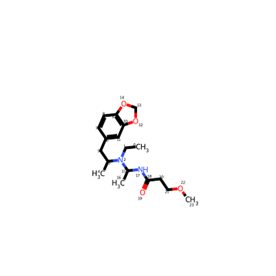 CCN(C(C)Cc1ccc2c(c1)OCO2)C(C)NC(=O)CCOC